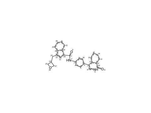 O=C(Nc1ccc(-c2n[nH]c(=O)c3ccccc23)cc1)c1nn(CC2COC2)c2ccccc12